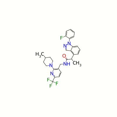 CC1CCN(c2nc(C(F)(F)F)ccc2CNC(=O)C(C)c2cccc3c2cnn3-c2ccccc2F)CC1